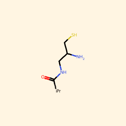 CC(C)C(=O)NCC(N)CS